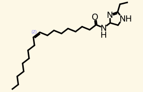 CCCCCCCC/C=C\CCCCCCCC(=O)NC1CNC(CC)=N1